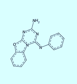 Nc1n/c(=N\c2ccccc2)n2c(n1)oc1ccccc12